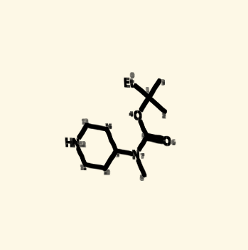 CCC(C)(C)OC(=O)N(C)C1CCNCC1